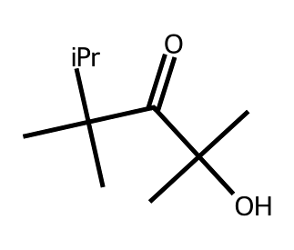 CC(C)C(C)(C)C(=O)C(C)(C)O